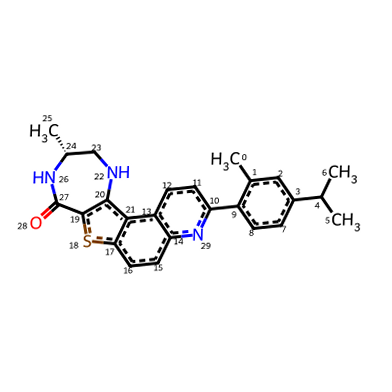 Cc1cc(C(C)C)ccc1-c1ccc2c(ccc3sc4c(c32)NC[C@@H](C)NC4=O)n1